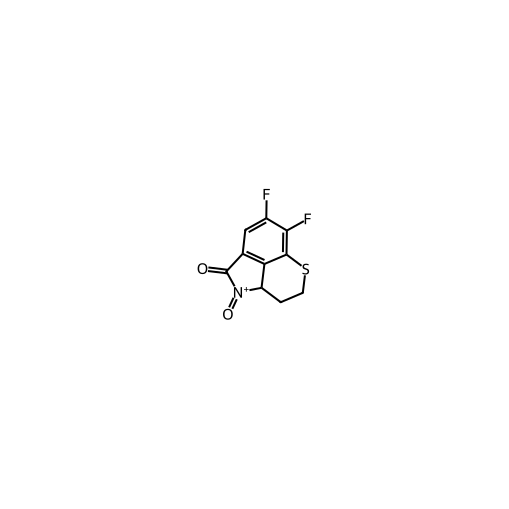 O=C1c2cc(F)c(F)c3c2C(CCS3)[N+]1=O